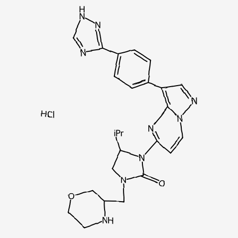 CC(C)C1CN(CC2COCCN2)C(=O)N1c1ccn2ncc(-c3ccc(-c4nc[nH]n4)cc3)c2n1.Cl